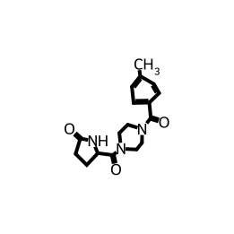 Cc1ccc(C(=O)N2CCN(C(=O)C3CCC(=O)N3)CC2)cc1